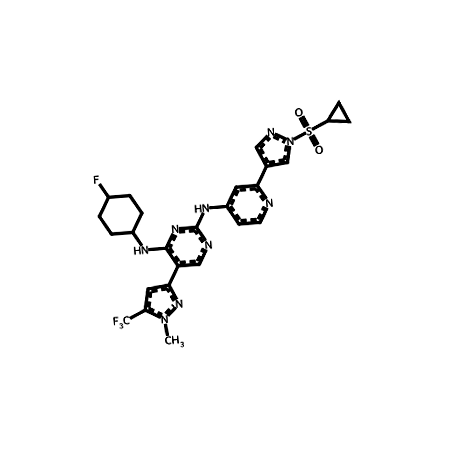 Cn1nc(-c2cnc(Nc3ccnc(-c4cnn(S(=O)(=O)C5CC5)c4)c3)nc2NC2CCC(F)CC2)cc1C(F)(F)F